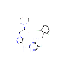 O=C(Cn1cc(Nc2ncc(F)c(NCc3c(Cl)cccc3Cl)n2)cn1)N1CCOCC1